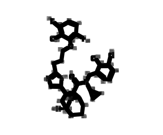 O=C(C1=C(c2cnc(CCCOc3c(F)ccc(F)c3Cl)s2)C[C@@H]2CCCC1N2)N(Cc1cccc(Cl)c1Cl)C1CC1